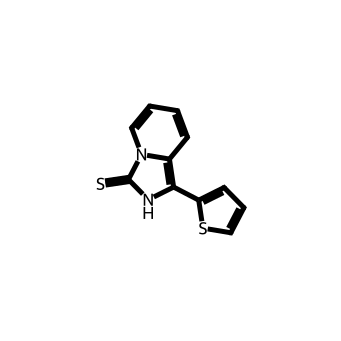 S=c1[nH]c(-c2cccs2)c2ccccn12